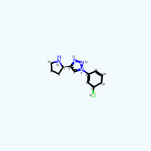 ClC1C=C(n2cc([C@H]3CCCN3)nn2)C=CC1